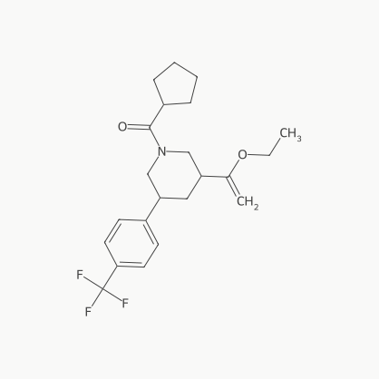 C=C(OCC)C1CC(c2ccc(C(F)(F)F)cc2)CN(C(=O)C2CCCC2)C1